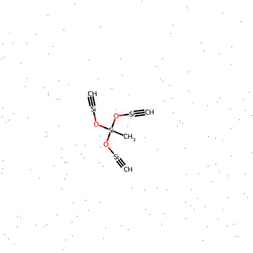 C#[Si]O[Si](C)(O[Si]#C)O[Si]#C